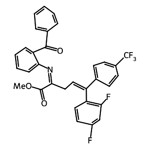 COC(=O)C(CC=C(c1ccc(C(F)(F)F)cc1)c1ccc(F)cc1F)=Nc1ccccc1C(=O)c1ccccc1